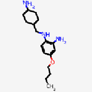 CCCCOc1ccc(NCC2CCC(N)CC2)c(N)c1